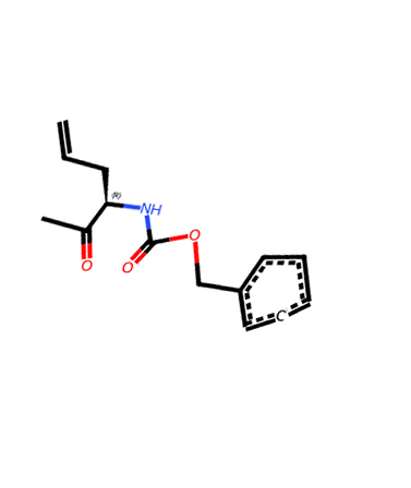 C=CC[C@@H](NC(=O)OCc1ccccc1)C(C)=O